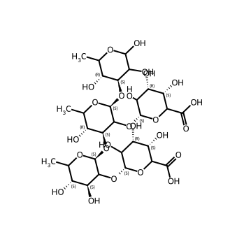 CC1O[C@@H](O[C@@H]2C(O[C@H]3OC(C(=O)O)[C@@H](O)[C@@H](O)C3O)[C@H](O[C@@H]3C(O)C(O)OC(C)[C@H]3O)OC(C)[C@H]2O)C(O[C@H]2OC(C(=O)O)[C@@H](O)[C@@H](O)C2O)[C@@H](O)[C@@H]1O